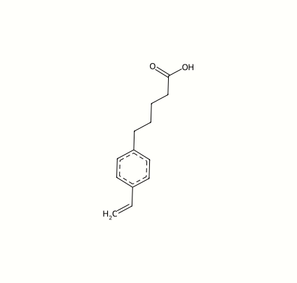 C=Cc1ccc(CCCCC(=O)O)cc1